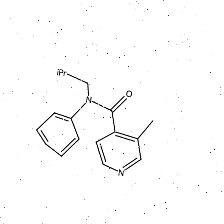 Cc1cnccc1C(=O)N(CC(C)C)c1ccccc1